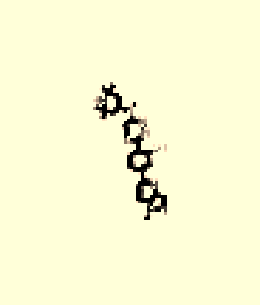 CN(c1cnc(-c2ccc(-c3ccc4c(cnn4C)n3)cc2O)nn1)C1CC(C)(C)NC(C)(C)C1